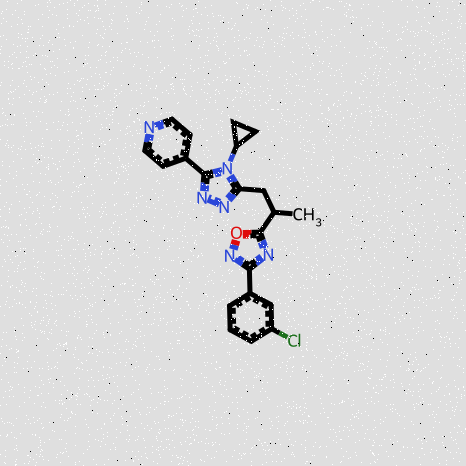 CC(Cc1nnc(-c2ccncc2)n1C1CC1)c1nc(-c2cccc(Cl)c2)no1